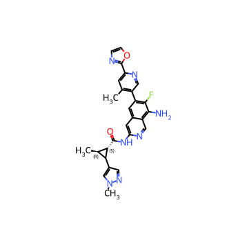 Cc1cc(-c2ncco2)ncc1-c1cc2cc(NC(=O)[C@@H]3C(c4cnn(C)c4)[C@H]3C)ncc2c(N)c1F